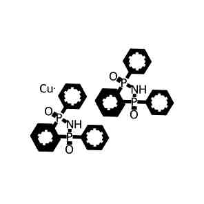 O=P(NP(=O)(c1ccccc1)c1ccccc1)(c1ccccc1)c1ccccc1.O=P(NP(=O)(c1ccccc1)c1ccccc1)(c1ccccc1)c1ccccc1.[Cu]